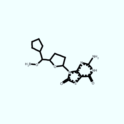 BOC(C1CCCC1)C1CCC(n2c(=O)sc3c(=O)[nH]c(N)nc32)O1